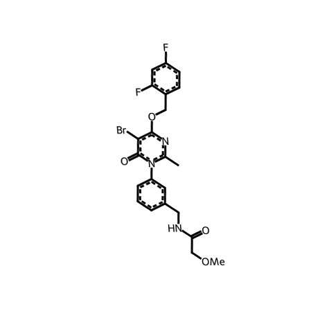 COCC(=O)NCc1cccc(-n2c(C)nc(OCc3ccc(F)cc3F)c(Br)c2=O)c1